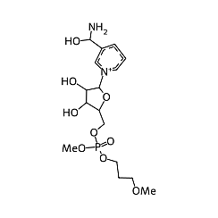 COCCCOP(=O)(OC)OCC1OC([n+]2cccc(C(N)O)c2)C(O)C1O